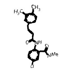 CNC(=O)c1cc(Cl)ccc1NC(=O)/C=C/c1ccc(C)c(C)c1